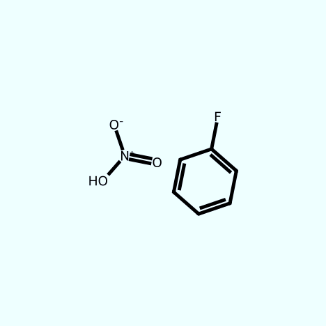 Fc1ccccc1.O=[N+]([O-])O